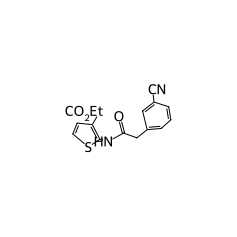 CCOC(=O)c1ccsc1NC(=O)Cc1cccc(C#N)c1